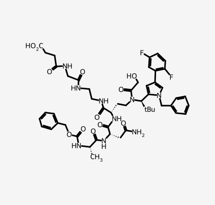 C[C@H](NC(=O)OCc1ccccc1)C(=O)N[C@@H](CC(N)=O)C(=O)N[C@@H](CCN(C(=O)CO)[C@@H](c1cc(-c2cc(F)ccc2F)cn1Cc1ccccc1)C(C)(C)C)C(=O)NCCNC(=O)CNC(=O)CCC(=O)O